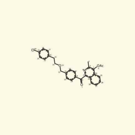 CC(=O)Oc1c(C)nc(C(=O)c2ccc(COCCc3ccc(Cl)cc3)cc2)c2ccccc12